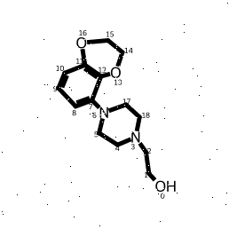 OCCN1CCN(c2cccc3c2OCCO3)CC1